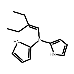 CCC(=CP(c1ccc[nH]1)c1ccc[nH]1)CC